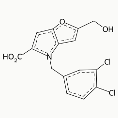 O=C(O)c1cc2oc(CO)cc2n1Cc1ccc(Cl)c(Cl)c1